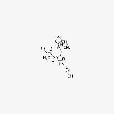 CC1C(=O)N(CC(=O)NC[C@H]2C[C@@H](O)C2)CCC[C@](c2ccccc2)(N(C)C)CCCC1CC1CCC1